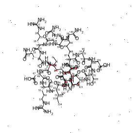 CC[C@H](C)[C@H](NC(=O)[C@H](CCC(N)=O)NC(=O)[C@H](CCCNC(=N)N)NC(=O)[C@H](CC(N)=O)NC(=O)[C@@H](N)CCC(N)=O)C(=O)N[C@@H](CC(=O)O)C(=O)N[C@@H](CCCNC(=N)N)C(=O)N[C@H](C(=O)N[C@@H](CCSC)C(=O)N[C@@H](CCC(=O)O)C(=O)N[C@@H](CCCCN)C(=O)N[C@@H](C)C(=O)N[C@@H](CC(=O)O)C(=O)N[C@@H](CO)C(=O)N[C@@H](CC(N)=O)C(=O)N[C@@H](CCCCN)C(=O)O)[C@@H](C)CC